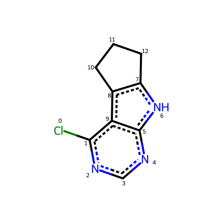 Clc1ncnc2[nH]c3c(c12)CCC3